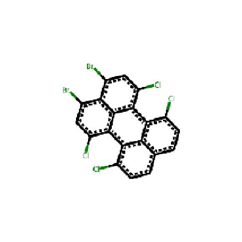 Clc1ccc2ccc(Cl)c3c4c(Cl)cc(Br)c5c(Br)cc(Cl)c(c1c23)c54